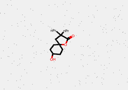 CCCC1(CCC)CC2(CCC(O)CC2)OC1=O